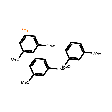 COc1cccc(OC)c1.COc1cccc(OC)c1.COc1cccc(OC)c1.P